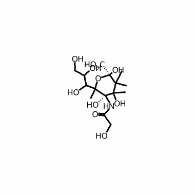 CC1(C(O)C(O)CO)O[C@](O)(C(=O)O)C(C)(C)C(C)(O)[C@@]1(O)NC(=O)CO